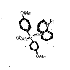 CCCCCCCC[B-](CCCCCCCC)(c1ccc(OC)cc1)c1ccc(OC)cc1.CC[n+]1cccc2ccccc21